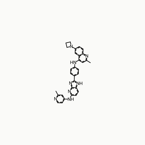 Cc1cc(Nc2ccc3[nH]c(-c4ccc(Nc5cc(C)nc6ccc(N7CCC7)cc56)cc4)nc3n2)ccn1